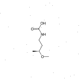 CO[C@@H](C)CCNC(=O)O